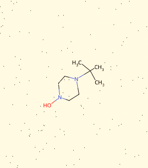 CC(C)(C)N1CCN(O)CC1